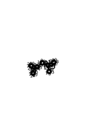 c1ccc(-c2nc(-c3cccc(-c4ccc5c(c4)c4ccccc4n5-c4ccccc4)c3)nc3c2oc2ccccc23)cc1